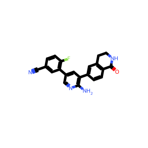 N#Cc1ccc(F)c(-c2cnc(N)c(-c3ccc4c(c3)CCNC4=O)c2)c1